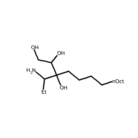 CCCCCCCCCCCCC(O)(C(N)CC)C(O)CO